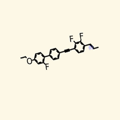 C/C=C/c1ccc(C#Cc2ccc(-c3ccc(OCC)cc3F)cc2)c(F)c1F